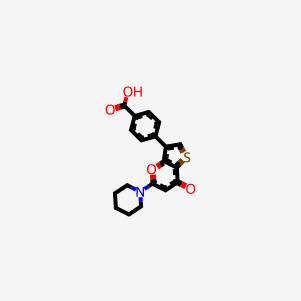 O=C(O)c1ccc(-c2csc3c(=O)cc(N4CCCCC4)oc23)cc1